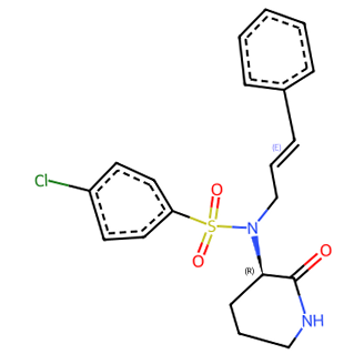 O=C1NCCC[C@H]1N(C/C=C/c1ccccc1)S(=O)(=O)c1ccc(Cl)cc1